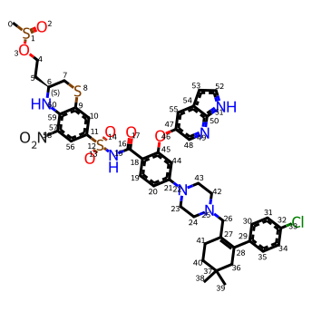 CS(=O)OCC[C@H]1CSc2cc(S(=O)(=O)NC(=O)c3ccc(N4CCN(CC5=C(c6ccc(Cl)cc6)CC(C)(C)CC5)CC4)cc3Oc3cnc4[nH]ccc4c3)cc([N+](=O)[O-])c2N1